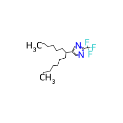 CCCCCCCC(CCCCCC)c1cnc(C(F)(F)F)nc1